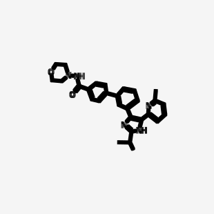 Cc1cccc(-c2[nH]c(C(C)C)nc2-c2cccc(-c3ccc(C(=O)NN4CCOCC4)cc3)c2)n1